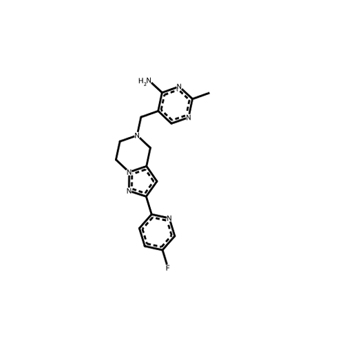 Cc1ncc(CN2CCn3nc(-c4ccc(F)cn4)cc3C2)c(N)n1